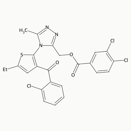 CCc1cc(C(=O)c2ccccc2Cl)c(-n2c(C)nnc2COC(=O)c2ccc(Cl)c(Cl)c2)s1